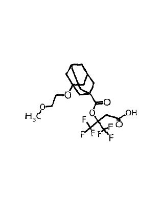 COCCOC12CC3CC(C1)CC(C(=O)OC(CC(=O)O)(C(F)(F)F)C(F)(F)F)(C3)C2